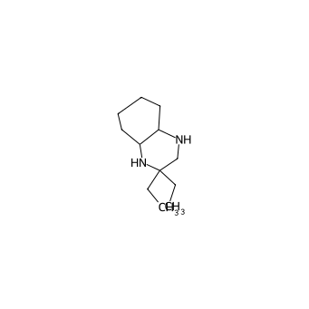 CCC1(CC)CNC2CCCCC2N1